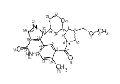 COCC1CCN(C(=O)c2cc3c(cc2C)[nH]c(=O)c2cnn(C4CCOCC4)c23)C1